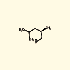 C[C@@H](CO)CN(C)C